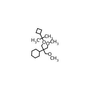 COCC(COC)(COC(C)(C)C1CCC1)C1CCCCC1